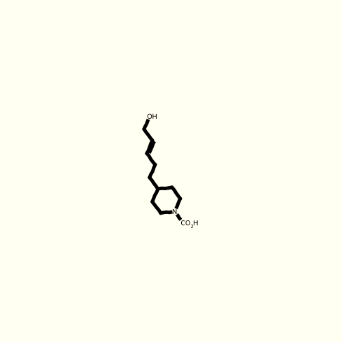 O=C(O)N1CCC(CCC=CCO)CC1